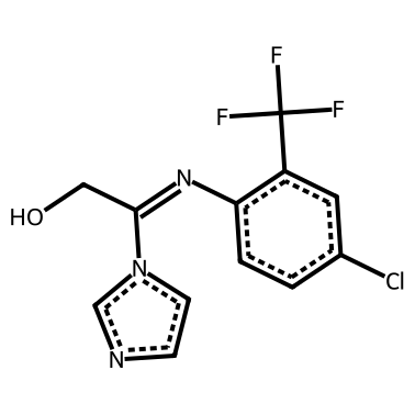 OCC(=Nc1ccc(Cl)cc1C(F)(F)F)n1ccnc1